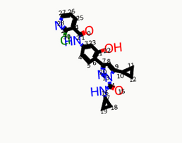 O=C(Nc1ccc(-c2cc(C3CC3)n(C(=O)NC3CC3)n2)c(O)c1)c1cccnc1Cl